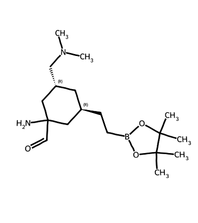 CN(C)C[C@@H]1C[C@@H](CCB2OC(C)(C)C(C)(C)O2)CC(N)(C=O)C1